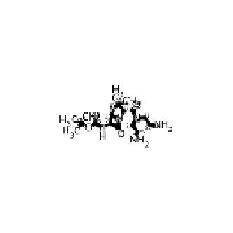 CC(C)(C)OC(=O)N[C@@H]1C(=O)N2C1SC(C)(C)[C@@H]2C(=O)N(CCN)CCN